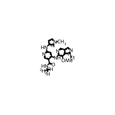 [2H]C([2H])([2H])NC(=O)c1cnc(Nc2ccn(C)n2)cc1Nc1ncc2cnn(CC)c2c1OC